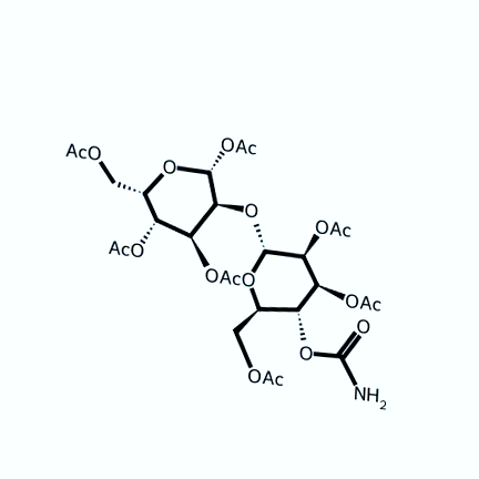 CC(=O)OC[C@@H]1O[C@H](OC(C)=O)[C@@H](O[C@H]2O[C@H](COC(C)=O)[C@@H](OC(N)=O)[C@H](OC(C)=O)[C@@H]2OC(C)=O)[C@@H](OC(C)=O)[C@@H]1OC(C)=O